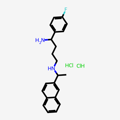 CC(NCCCC(N)c1ccc(F)cc1)c1ccc2ccccc2c1.Cl.Cl